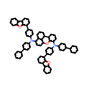 c1ccc(-c2ccc(N(c3ccc(-c4cccc5c4oc4ccccc45)cc3)c3cccc4c3Oc3ccc(N(c5ccc(-c6ccccc6)cc5)c5ccc(-c6cccc7c6oc6ccccc67)cc5)c5cccc-4c35)cc2)cc1